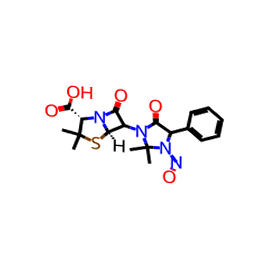 CC1(C)S[C@@H]2C(N3C(=O)C(c4ccccc4)N(N=O)C3(C)C)C(=O)N2[C@H]1C(=O)O